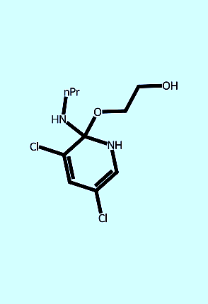 CCCNC1(OCCO)NC=C(Cl)C=C1Cl